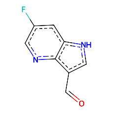 O=Cc1c[nH]c2cc(F)cnc12